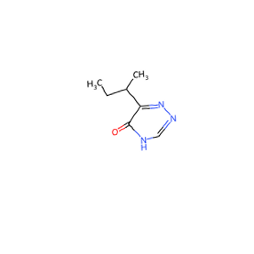 CCC(C)c1nnc[nH]c1=O